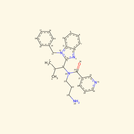 CC(C)C(c1nc2ccccc2n1Cc1ccccc1)N(CCCN)C(=O)c1cccnc1